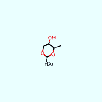 C[C@H]1O[C@@H](C(C)(C)C)OC[C@H]1O